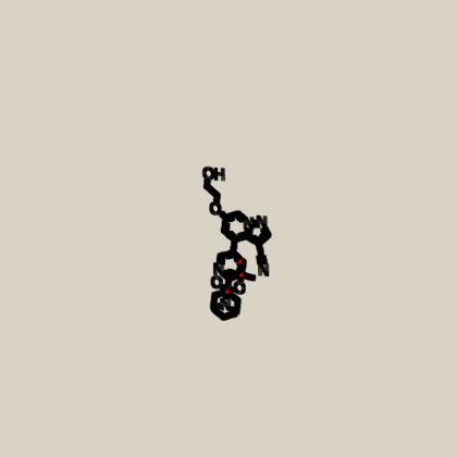 CC(C)(C)OC(=O)N1C2CC1CN(c1ccc(-c3cc(OCCO)cn4ncc(C#N)c34)cn1)C2